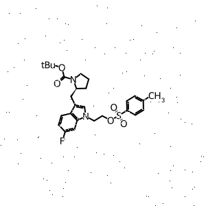 Cc1ccc(S(=O)(=O)OCCn2cc(C[C@@H]3CCCN3C(=O)OC(C)(C)C)c3ccc(F)cc32)cc1